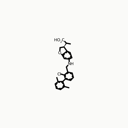 Cc1cccc(C)c1-c1cccc(CNc2ccc3c(c2)OC[C@H]3C(C)C(=O)O)c1Cl